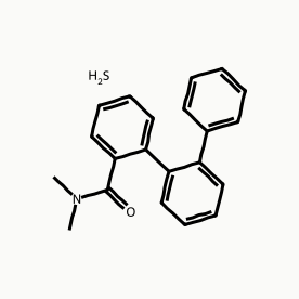 CN(C)C(=O)c1ccccc1-c1ccccc1-c1ccccc1.S